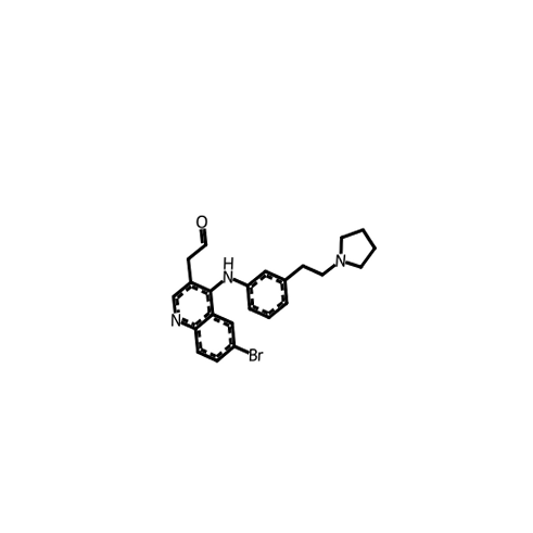 O=CCc1cnc2ccc(Br)cc2c1Nc1cccc(CCN2CCCC2)c1